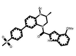 COc1cccc2[nH]c(C(=O)N3C[C@H](C)N(C(C)=O)c4ccc(-c5ccc(S(C)(=O)=O)cc5)cc43)cc12